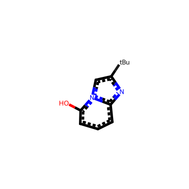 CC(C)(C)c1cn2c(O)cccc2n1